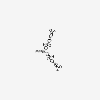 CON=C(c1ccc(NC(=O)c2ccc(N3CCN(C(=O)C4CC4)CC3)cc2)cc1)c1ccc(NC(=O)c2ccc(N3CCN(C(=O)C4CC4)CC3)cc2)cc1